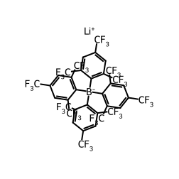 FC(F)(F)c1cc(C(F)(F)F)c([B-](c2c(C(F)(F)F)cc(C(F)(F)F)cc2C(F)(F)F)(c2c(C(F)(F)F)cc(C(F)(F)F)cc2C(F)(F)F)c2c(C(F)(F)F)cc(C(F)(F)F)cc2C(F)(F)F)c(C(F)(F)F)c1.[Li+]